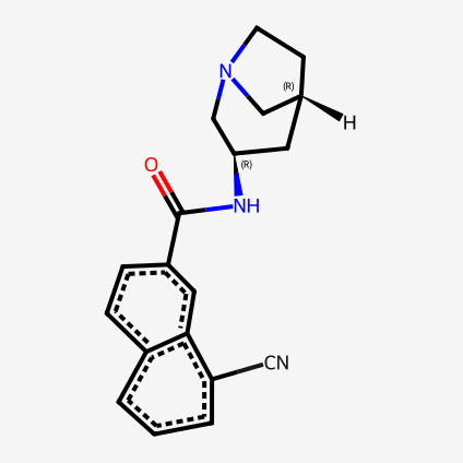 N#Cc1cccc2ccc(C(=O)N[C@@H]3C[C@H]4CCN(C4)C3)cc12